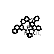 CC1c2ccccc2-c2c(cc3c4c5ccccc5ccc4n4c5ccccc5c2c34)C1C1c2ccccc2N=C(c2ccc3ccc4ccccc4c3c2)N1C